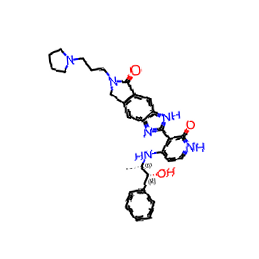 C[C@H](Nc1cc[nH]c(=O)c1-c1nc2cc3c(cc2[nH]1)C(=O)N(CCCN1CCCC1)C3)[C@H](O)c1ccccc1